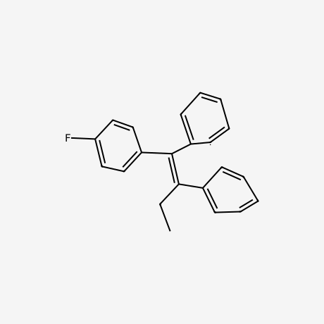 CCC(=C(c1[c]cccc1)c1ccc(F)cc1)c1ccccc1